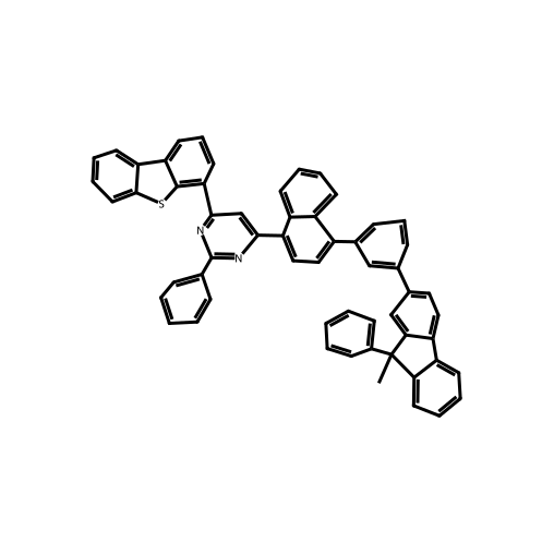 CC1(c2ccccc2)c2ccccc2-c2ccc(-c3cccc(-c4ccc(-c5cc(-c6cccc7c6sc6ccccc67)nc(-c6ccccc6)n5)c5ccccc45)c3)cc21